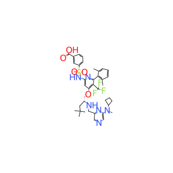 Cc1cccc(C)c1-c1nc(NS(=O)(=O)c2cccc(C(=O)O)c2)cc(OC[C@@H](CC(C)(C)C)NCc2cncc(N(C)C3CCC3)n2)c1C(F)(F)F